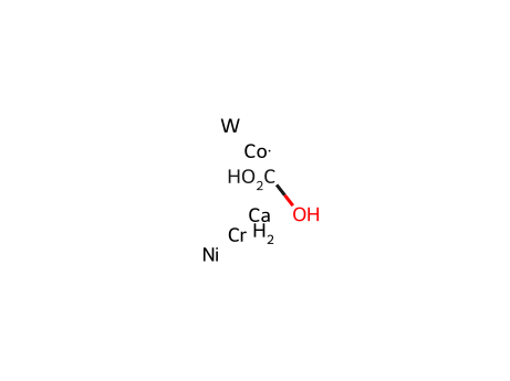 O=C(O)O.[CaH2].[Co].[Cr].[Ni].[W]